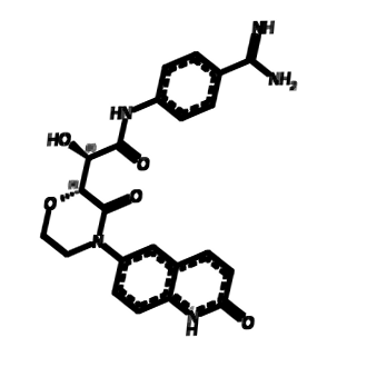 N=C(N)c1ccc(NC(=O)[C@H](O)[C@H]2OCCN(c3ccc4[nH]c(=O)ccc4c3)C2=O)cc1